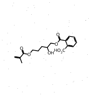 C=C(C)C(=O)OCCCC(O)COC(=O)c1ccccc1C(=O)O